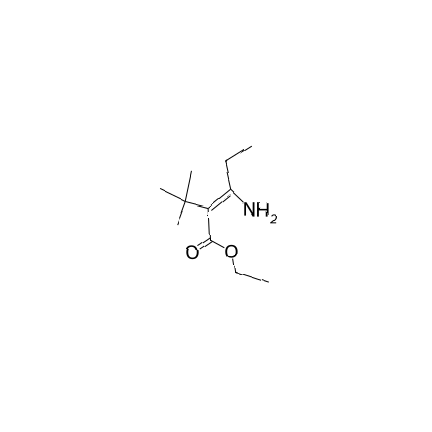 CCOC(=O)C(=C(N)CC)C(C)(C)C